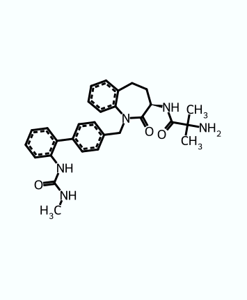 CNC(=O)Nc1ccccc1-c1ccc(CN2C(=O)[C@H](NC(=O)C(C)(C)N)CCc3ccccc32)cc1